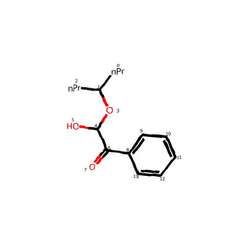 CCCC(CCC)OC(O)C(=O)c1ccccc1